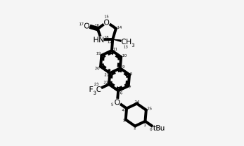 CC(C)(C)C1CCC(Oc2ccc3cc([C@@]4(C)COC(=O)N4)ccc3c2C(F)(F)F)CC1